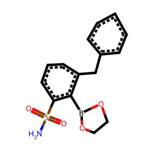 NS(=O)(=O)c1cccc(Cc2ccccc2)c1B1OCCO1